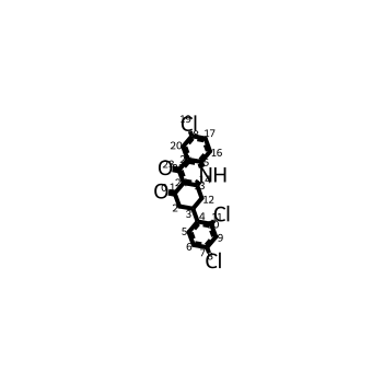 O=C1CC(c2ccc(Cl)cc2Cl)Cc2[nH]c3ccc(Cl)cc3c(=O)c21